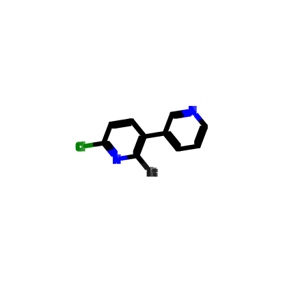 CCc1nc(Cl)ccc1-c1cccnc1